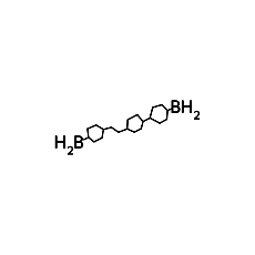 BC1CCC(CCC2CCC(C3CCC(B)CC3)CC2)CC1